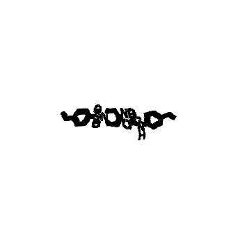 CCc1ccc(NC(=O)OC2(N)CCN(S(=O)(=O)c3ccc(CC)cc3)CC2)cc1